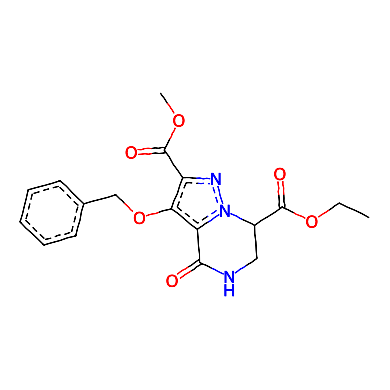 CCOC(=O)C1CNC(=O)c2c(OCc3ccccc3)c(C(=O)OC)nn21